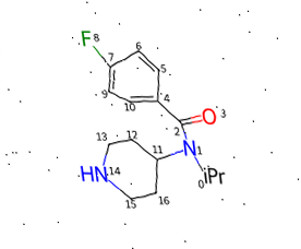 CC(C)N(C(=O)c1ccc(F)cc1)C1CCNCC1